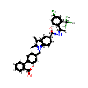 Cc1c(C)n(Cc2ccc(-c3ccccc3C(=O)O)cc2)c2ccc(C(=O)NC(C)c3ccc(F)cc3C(F)(F)F)cc12